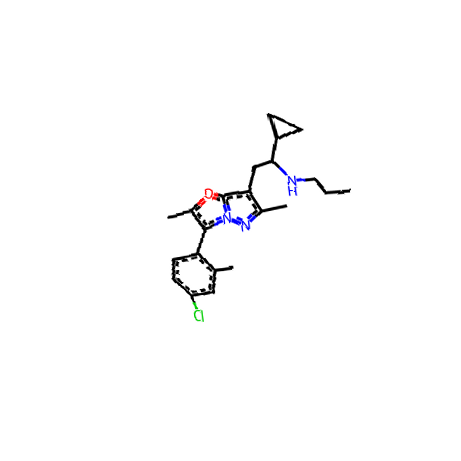 CCCNC(Cc1c(C)nn2c(-c3ccc(Cl)cc3C)c(C)oc12)C1CC1